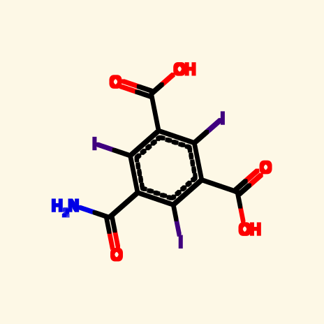 NC(=O)c1c(I)c(C(=O)O)c(I)c(C(=O)O)c1I